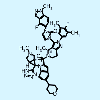 Cc1cc(-n2nc3c(c2-n2ccn(-c4ccc5c(cnn5C)c4F)c2=O)[C@H](C)N(C(=O)c2cc4cc(C5CCOCC5)ccc4n2C2(c4nnn[nH]4)[C@@H]4CN(C)C[C@@H]42)CC3)cc(C)c1F